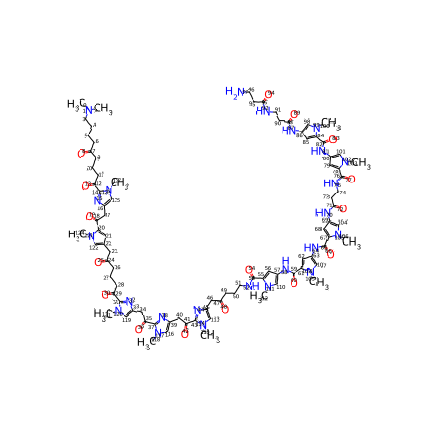 CN(C)CCCCC(=O)CCCC(=O)c1nc(CC(=O)c2cc(CC(=O)CCCC(=O)c3nc(CC(=O)c4nc(CC(=O)c5nc(CC(=O)CCCNC(=O)c6cc(NC(=O)c7cc(NC(=O)c8cc(NC(=O)CCNC(=O)c9cc(NC(=O)c%10cc(NC(=O)CCNC(=O)CCN)cn%10C)cn9C)cn8C)cn7C)cn6C)cn5C)cn4C)cn3C)cn2C)cn1C